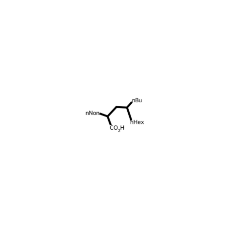 CCCCCCCCCC(CC(CCCC)CCCCCC)C(=O)O